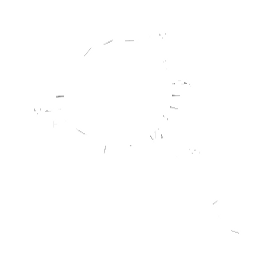 C=CCOC(=O)OCCO[C@@H]1CC[C@@H](C[C@H]2C3CCCN4C(=O)C(=O)[C@]5(O)O[C@@H](CC[C@H]5C)C[C@H](OC)/C(C)=C/C=C/C=C/[C@@H](C)C[C@@H](C)C(=O)[C@H](OC)[C@H](O)/C(C)=C/CC(=O)C[C@@H]2OC(=O)[C@H]34)C[C@H]1OC